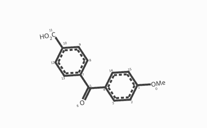 COc1ccc(C(=O)c2ccc(C(=O)O)cc2)cc1